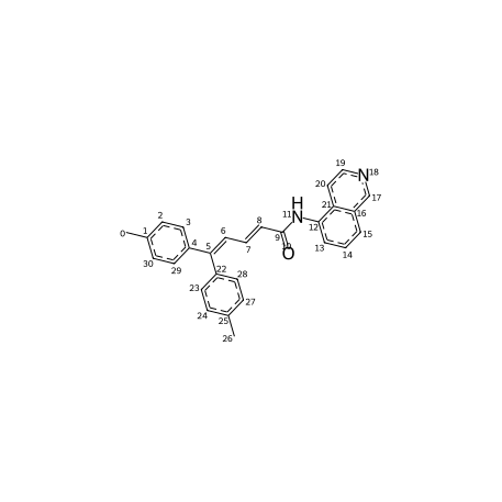 Cc1ccc(C(=C/C=C/C(=O)Nc2cccc3cnccc23)c2ccc(C)cc2)cc1